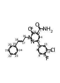 NC(=O)c1cc(-c2ccc(F)c(Cl)c2)nn(CC=Cc2ccccc2)c1=O